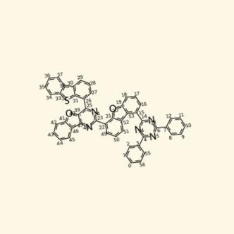 c1ccc(-c2nc(-c3ccccc3)nc(-c3cccc4oc5c(-c6nc(-c7cccc8c7sc7ccccc78)c7oc8ccccc8c7n6)cccc5c34)n2)cc1